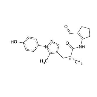 Cc1c(C[C@@H](C)C(=O)NC2=C(C=O)CCC2)cnn1-c1ccc(O)cc1